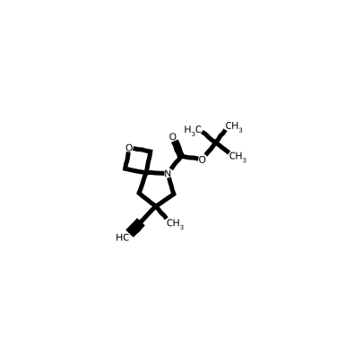 C#CC1(C)CN(C(=O)OC(C)(C)C)C2(COC2)C1